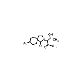 CC(=O)N1CCC2(CC1)CCN([C@H](C(N)=O)[C@@H](C)O)C2=O